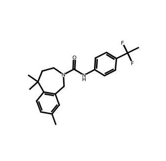 Cc1ccc2c(c1)CN(C(=O)Nc1ccc(C(C)(F)F)cc1)CCC2(C)C